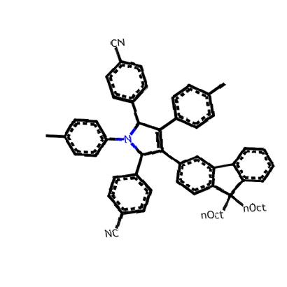 CCCCCCCCC1(CCCCCCCC)c2ccccc2-c2cc(C3=C(c4ccc(C)cc4)C(c4ccc(C#N)cc4)N(c4ccc(C)cc4)C3c3ccc(C#N)cc3)ccc21